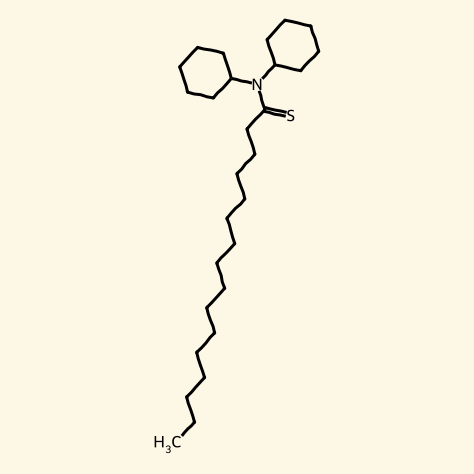 CCCCCCCCCCCCCCCC(=S)N(C1CCCCC1)C1CCCCC1